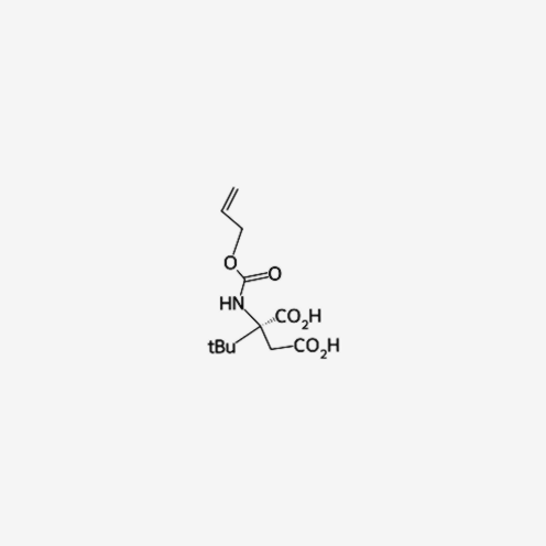 C=CCOC(=O)N[C@](CC(=O)O)(C(=O)O)C(C)(C)C